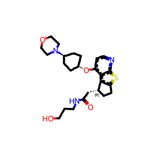 O=C(C[C@H]1CCc2sc3nccc(O[C@H]4CC[C@H](N5CCOCC5)CC4)c3c21)NCCCO